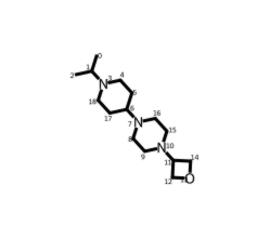 CC(C)N1CCC(N2CCN(C3COC3)CC2)CC1